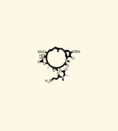 COc1cc2cc(c1Cl)N(C)C(=O)C[C@H](OC(=O)[C@H](C)N(C)C(=O)CC[SiH3])C1(C)OC1[C@H](C)C1CC(O)(NC(=O)O1)C(OC)/C=C/C=C(\C)C2